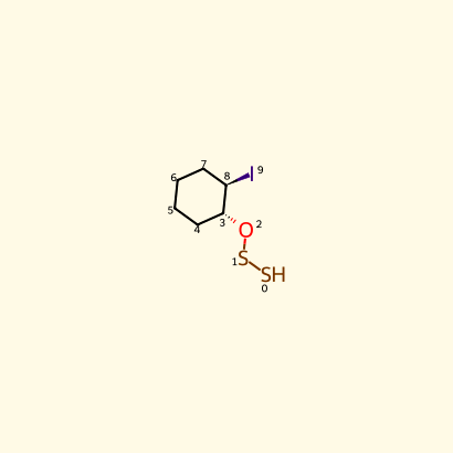 SSO[C@@H]1CCCC[C@H]1I